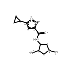 CCCC1CN(C(C)C)CC1NC(=O)c1cc(C2CC2)on1